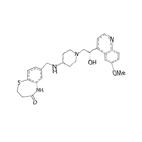 COc1ccc2nccc([C@H](O)CN3CCC(NCc4ccc5c(c4)NC(=O)CCS5)CC3)c2c1